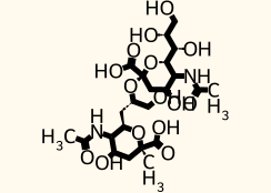 CC(=O)NC1C(O)C[C@](C)(C(=O)O)O[C@@H]1C[C@@H](CO)O[C@]1(C(=O)O)CC(O)C(NC(C)=O)[C@@H]([C@@H](O)[C@H](O)CO)O1